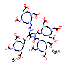 O=C([O-])CN1CCN(CC(=O)[O-])CCN(CC(=O)NCC(CNC(=O)CN2CCN(CC(=O)[O-])CCN(CC(=O)[O-])CCN(CC(=O)[O-])CC2)(CNC(=O)CN2CCN(CC(=O)[O-])CCN(CC(=O)[O-])CCN(CC(=O)[O-])CC2)CNC(=O)CN2CCN(CC(=O)[O-])CCN(CC(=O)[O-])CCN(CC(=O)[O-])CC2)CCN(CC(=O)[O-])CC1.[Gd+3].[Gd+3].[Gd+3].[Gd+3]